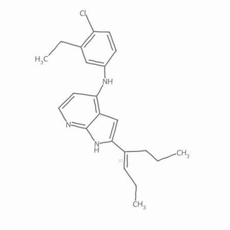 CC/C=C(\CCC)c1cc2c(Nc3ccc(Cl)c(CC)c3)ccnc2[nH]1